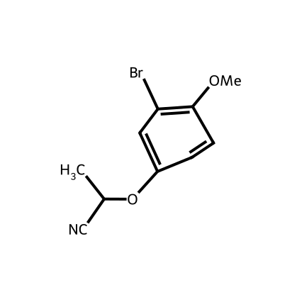 COc1ccc(OC(C)C#N)cc1Br